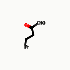 CC(C)CCC(=O)C=O